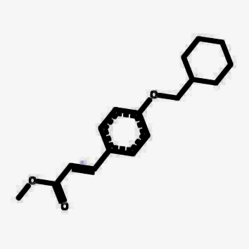 COC(=O)/C=C/c1ccc(OCC2CCCCC2)cc1